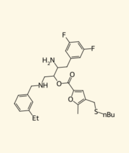 CCCCSCc1cc(C(=O)OC(CNCc2cccc(CC)c2)C(N)Cc2cc(F)cc(F)c2)oc1C